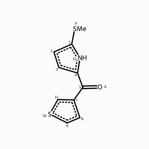 CSc1ccc(C(=O)c2ccsc2)[nH]1